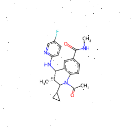 CNC(=O)c1ccc2c(c1)C(Nc1ccc(F)cn1)[C@@H](C)C(C1CC1)N2C(C)=O